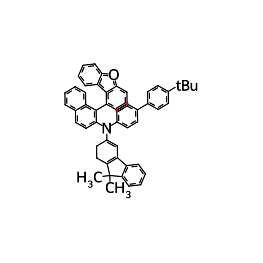 CC(C)(C)c1ccc(-c2ccc(N(C3=CC4=C(CC3)C(C)(C)c3ccccc34)c3ccc4ccccc4c3-c3c#ccc4oc5ccccc5c34)cc2)cc1